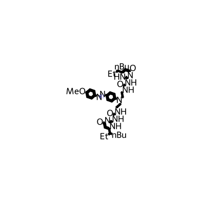 CCCCC(CC)c1cc(=O)nc(NC(=O)NCCN(CCNC(=O)Nc2nc(=O)cc(C(CC)CCCC)[nH]2)c2ccc(/N=N/c3ccc(OC)cc3)cc2)[nH]1